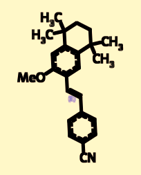 COc1cc2c(cc1/C=C/c1ccc(C#N)cc1)C(C)(C)CCC2(C)C